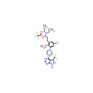 CCN(CC)C(CCc1cc(Cl)cc(N2CCN(c3ncnc4[nH]nc(C(F)(F)F)c34)CC2)c1C)OC(=O)C(F)(F)F